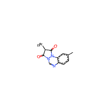 CCCC1C(=O)N2C=Nc3ccc(C)cc3N2C1=O